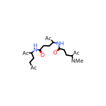 CNC(CCC(=O)NC(CCC(=O)NC(CCC(C)=O)C(C)=O)C(C)=O)C(C)=O